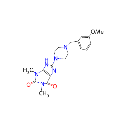 COc1cccc(CN2CCN(c3nc4c(=O)n(C)c(=O)n(C)c4[nH]3)CC2)c1